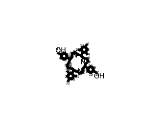 Cc1cc(C)c(C2=C3C=CC(=N3)C(c3ccc(CO)cc3)=C3C=CC(=N3)C(c3c(C)cc(C)cc3C)=C3C=CC(=N3)C(c3ccc(CO)cc3)=C3C=CC2=N3)c(C)c1